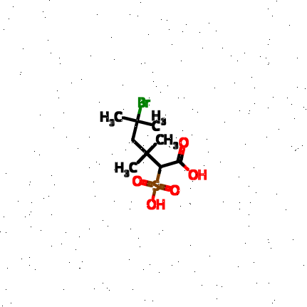 CC(C)(Br)CC(C)(C)C(C(=O)O)S(=O)(=O)O